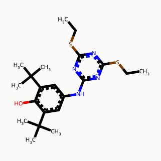 CCSc1nc(Nc2cc(C(C)(C)C)c(O)c(C(C)(C)C)c2)nc(SCC)n1